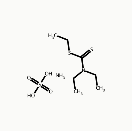 CCSC(=S)N(CC)CC.N.O=S(=O)(O)O